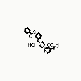 CC(C)c1ccnc(N2CCN(Cc3cccc(N(C)C(=O)c4ccccc4)c3)CC2)c1C(=O)O.Cl